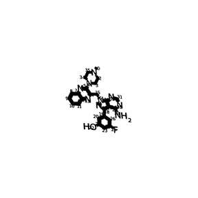 CN1CCN(c2nc3ccccc3nc2Cn2nc(-c3cc(O)cc(F)c3)c3c(N)ncnc32)CC1